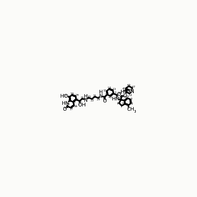 Cc1cccc2c1CCC2(NCc1cccc(C(=O)NCCCCNCC(O)c2ccc(O)c3[nH]c(=O)ccc23)c1)C(=O)O[C@H]1CN2CCC1CC2